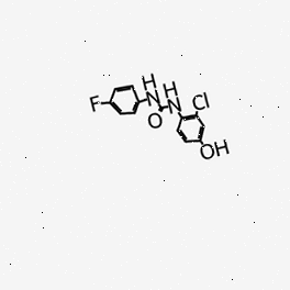 O=C(Nc1ccc(F)cc1)Nc1ccc(O)cc1Cl